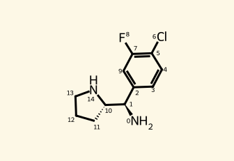 N[C@H](c1ccc(Cl)c(F)c1)[C@@H]1CCCN1